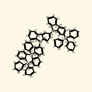 c1ccc([Si](c2ccccc2)(c2ccccc2)c2ccc3c4ccccc4n(-c4ccc5c(c4)c4ccccc4n5-c4cccc([Si]5(c6ccccc6)c6ccccc6[Si](c6ccccc6)(c6ccccc6)c6ccccc65)c4)c3c2)cc1